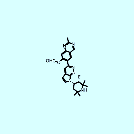 Cc1ncc2cc(-c3cc4ccn([C@H]5CC(C)(C)NC(C)(C)[C@H]5F)c4nn3)c(OC=O)cc2n1